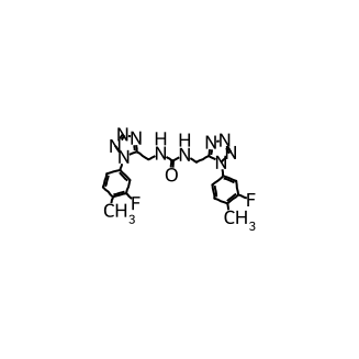 Cc1ccc(-n2nnnc2CNC(=O)NCc2nnnn2-c2ccc(C)c(F)c2)cc1F